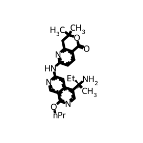 CCCOc1ncc([C@@](C)(N)CC)c2cc(Nc3ccc4c(n3)CC(C)(C)OC4=O)ncc12